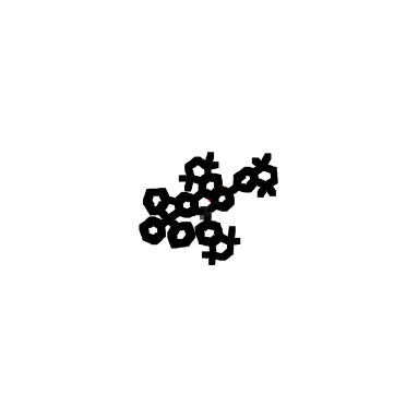 CC1(C)CCC(C)(C)c2cc(-c3ccc(N(c4ccc5c(c4)C(C)(C)CCC5(C)C)c4cc5c(cc4-c4cccc6c4C(C)(C)CCC6(C)C)-c4ccccc4C5(c4ccccc4)c4ccccc4)cc3)ccc21